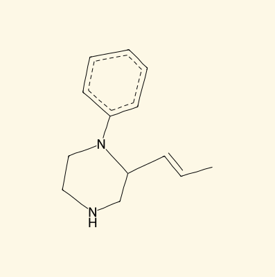 CC=CC1CNCCN1c1ccccc1